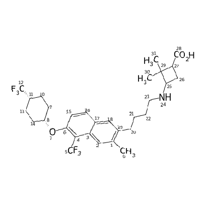 Cc1cc2c(C(F)(F)F)c(O[C@H]3CC[C@@H](C(F)(F)F)CC3)ccc2cc1CCCCNC1CC(C(=O)O)C1(C)C